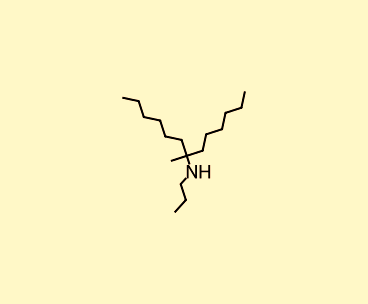 CCCCCCC(C)(CCCCCC)NCCC